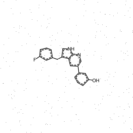 Oc1cccc(-c2cnc3[nH]cc(Cc4cccc(F)c4)c3c2)c1